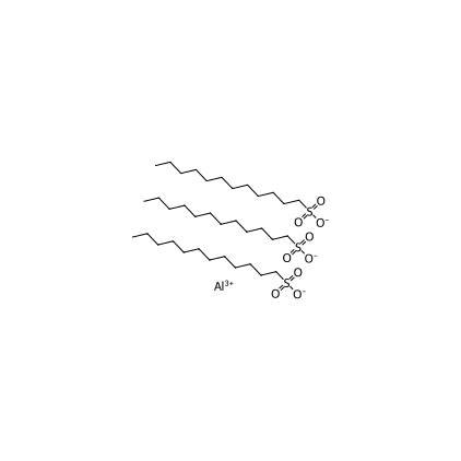 CCCCCCCCCCCCS(=O)(=O)[O-].CCCCCCCCCCCCS(=O)(=O)[O-].CCCCCCCCCCCCS(=O)(=O)[O-].[Al+3]